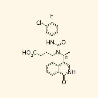 C[C@@H](c1c[nH]c(=O)c2ccccc12)N(CCCC(=O)O)C(=O)Nc1ccc(F)c(Cl)c1